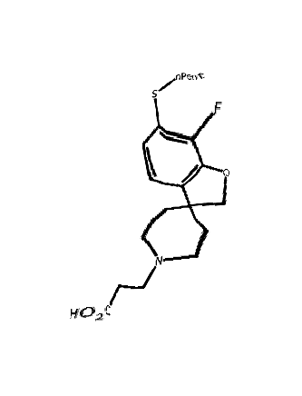 CCCCCSc1ccc2c(c1F)OCC21CCN(CCC(=O)O)CC1